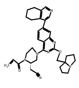 C=CC(=O)N1CCN(c2nc(OCC34CCCN3CCC4)nc3cc(-c4cncc5c4CCCC5)ccc23)C[C@@H]1CC#N